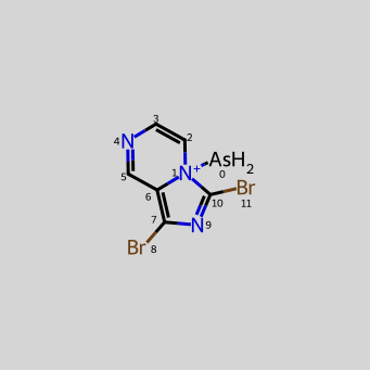 [AsH2][N+]12C=CN=CC1=C(Br)N=C2Br